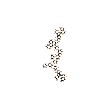 c1ccc(-c2ccc(N(c3ccc(-c4ccc5c(c4)c4ccccc4n5-c4cccc5ccccc45)cc3)c3ccc4c5ccc(-c6cccc(-c7ccc(N(c8ccc(-c9ccc%10c(c9)c9ccccc9n%10-c9cccc%10ccccc9%10)cc8)c8cc9ccccc9c9ccccc89)cc7)c6)cc5c5ccccc5c4c3)cc2)cc1